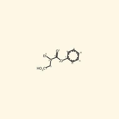 CCN(CC(=O)O)C(=O)Oc1ccccc1